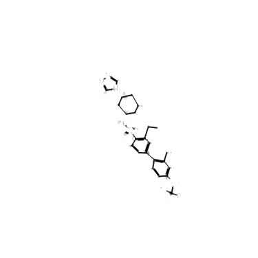 CCc1cc(-c2ccc(OC(F)(F)F)cc2C)ccc1S(=O)(=O)N[C@H]1CCC[C@@H](n2cnnc2)C1